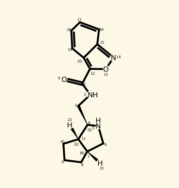 O=C(NC[C@H]1NC[C@@H]2CCC[C@@H]21)c1onc2ccccc12